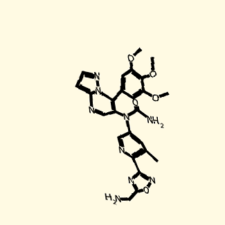 COc1cc(-c2c(N(C(N)=O)c3cnc(-c4noc(CN)n4)c(C)c3)cnc3ccnn23)cc(OC)c1OC